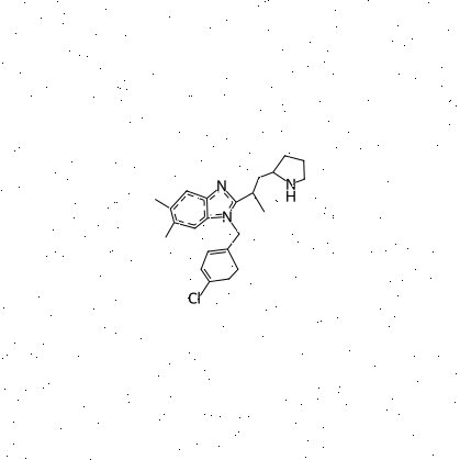 Cc1cc2nc(C(C)CC3CCCN3)n(CC3=CC=C(Cl)CC3)c2cc1C